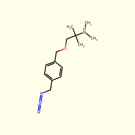 C[SiH](C)C(C)(C)COCc1ccc(CN=[N+]=[N-])cc1